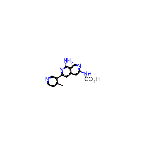 Cc1ccncc1-c1cc2cc(NC(=O)O)ncc2c(N)n1